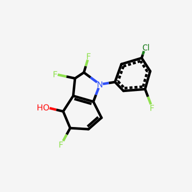 OC1C2=C(C=CC1F)N(c1cc(F)cc(Cl)c1)C(F)C2F